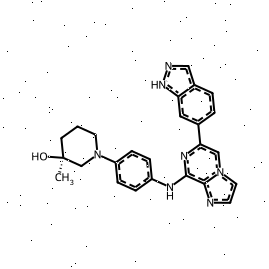 C[C@]1(O)CCCN(c2ccc(Nc3nc(-c4ccc5cn[nH]c5c4)cn4ccnc34)cc2)C1